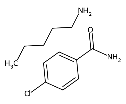 CCCCCN.NC(=O)c1ccc(Cl)cc1